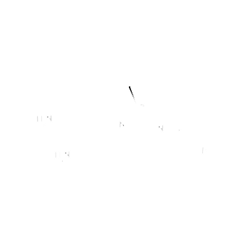 C[C@H]1CN(C(=O)OC(C)(C)C)CCN1c1ccc(N)c(N)c1